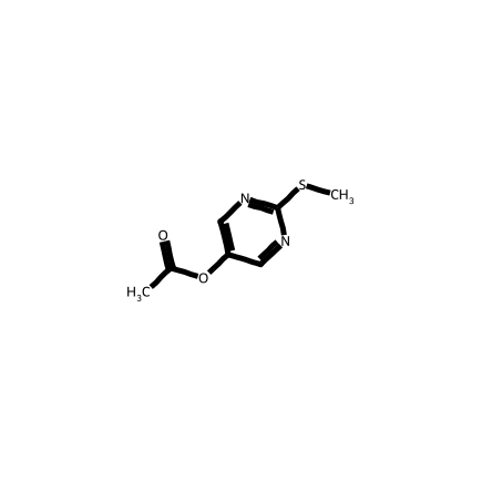 CSc1ncc(OC(C)=O)cn1